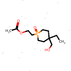 CCC1(CO)CCP(=O)(CCOC(C)=O)CC1